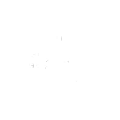 Cc1cc([SiH](CCCl)c2ccccc2)cc([Si](C)(C)C)c1